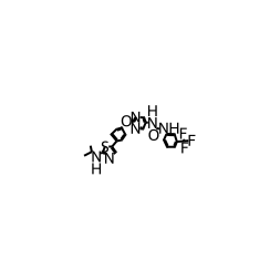 CC(C)Nc1ncc(-c2ccc(Oc3ncc(NC(=O)Nc4cccc(C(F)(F)F)c4)cn3)cc2)s1